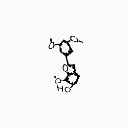 COc1cc(OC)cc(-c2cc3ccc(O)c(OC)c3o2)c1